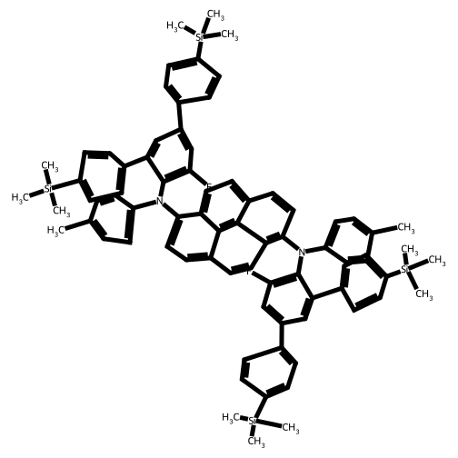 Cc1ccc(N(c2c(F)cc(-c3ccc([Si](C)(C)C)cc3)cc2-c2ccc([Si](C)(C)C)cc2)c2ccc3ccc4c(N(c5ccc(C)cc5)c5c(F)cc(-c6ccc([Si](C)(C)C)cc6)cc5-c5ccc([Si](C)(C)C)cc5)ccc5ccc2c3c54)cc1